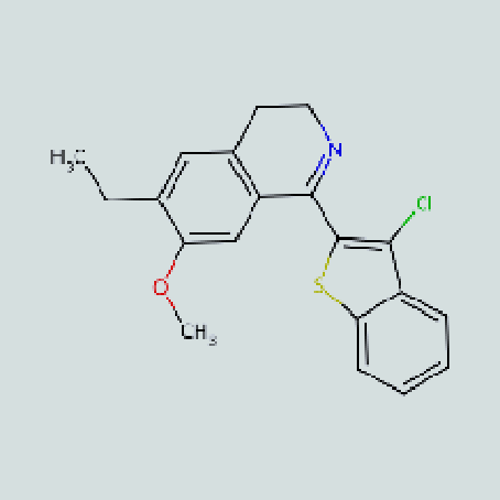 CCc1cc2c(cc1OC)C(c1sc3ccccc3c1Cl)=NCC2